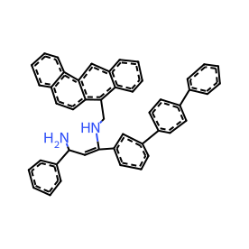 NC(/C=C(\NCc1c2ccccc2cc2c1ccc1ccccc12)c1cccc(-c2ccc(-c3ccccc3)cc2)c1)c1ccccc1